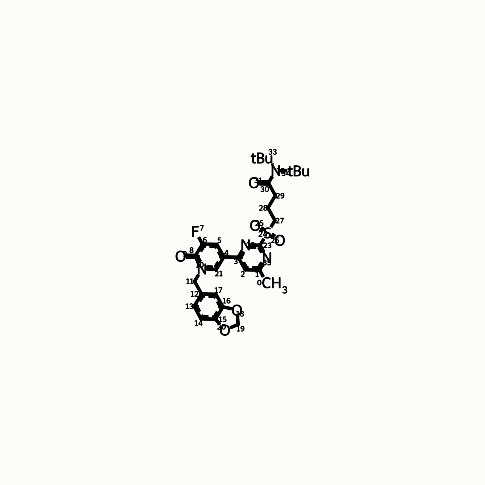 Cc1cc(-c2cc(F)c(=O)n(Cc3ccc4c(c3)OCO4)c2)nc(S(=O)(=O)CCCC(=O)N(C(C)(C)C)C(C)(C)C)n1